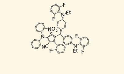 CCN(c1ccc(C(=C2C=CC(=[N+](CC)c3c(F)cccc3F)C=C2)c2sc(N(c3ccccc3)c3ccccc3[N+](=O)[O-])c(C#N)c2-c2ccccc2F)cc1)c1c(F)cccc1F